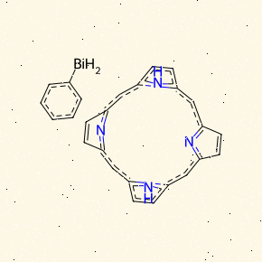 C1=Cc2cc3ccc(cc4nc(cc5ccc(cc1n2)[nH]5)C=C4)[nH]3.[BiH2][c]1ccccc1